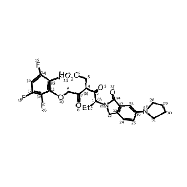 CC[C@@H](C(=O)[C@H](CC(=O)O)C(=O)COc1c(F)c(F)cc(F)c1F)N1Cc2ccc(N3CCCC3)cc2C1=O